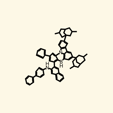 CC1CC2CC(C)CC(c3ccc4c(c3)c3cc(C56CC(C)CC(CC(C)C5)C6)cc5c3n4-c3cc(-c4ccccc4)cc(-c4cc6ccccc6cc4Nc4ccc(-c6ccccc6)cc4)c3B5)(C1)C2